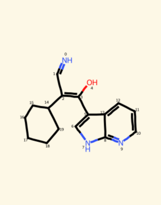 N=C/C(=C(\O)c1c[nH]c2ncccc12)C1CCCCC1